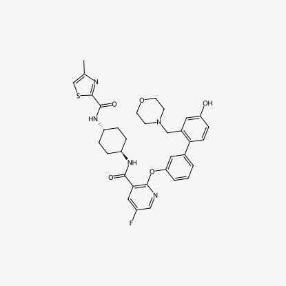 Cc1csc(C(=O)N[C@H]2CC[C@H](NC(=O)c3cc(F)cnc3Oc3cccc(-c4ccc(O)cc4CN4CCOCC4)c3)CC2)n1